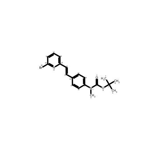 CN(C(=O)OC(C)(C)C)c1ccc(/C=C/c2cccc(Br)n2)cc1